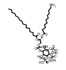 CCCCCCCCCCCCCCCC(=O)O[C@H](COC(=O)CCCCCCCCCCN)COP(=O)(O)OC1C(O)[C@H](OP(=O)(O)O)C(OP(=O)(O)O)[C@H](OP(=O)(O)O)[C@@H]1O